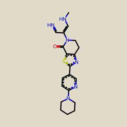 CN/C=C(\C=N)N1CCc2nc(-c3ccc(N4CCCCC4)nc3)sc2C1=O